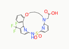 O=C(O)CN1CCCCOc2ccccc2-c2nc(ccc2C(F)(F)F)NS(=O)(=O)c2cccc1n2